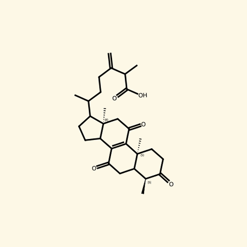 C=C(CCC(C)C1CCC2C3=C(C(=O)C[C@@]21C)[C@@]1(C)CCC(=O)[C@@H](C)C1CC3=O)C(C)C(=O)O